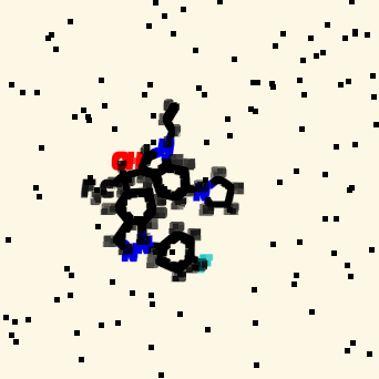 C=CCn1cc(C(O)(c2ccc3c(cnn3-c3ccc(F)cc3)c2)C(F)(F)F)c2ccc(N3CCCC3)cc21